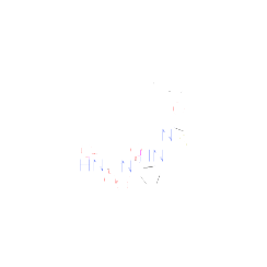 O=C1CCC(N2C(=O)c3cccc(NCc4nc(COC5C6CC7CC(C6)CC5C7)cs4)c3C2=O)C(=O)N1